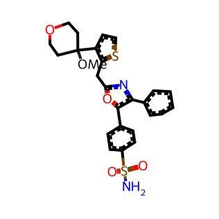 COC1(c2ccsc2Cc2nc(-c3ccccc3)c(-c3ccc(S(N)(=O)=O)cc3)o2)CCOCC1